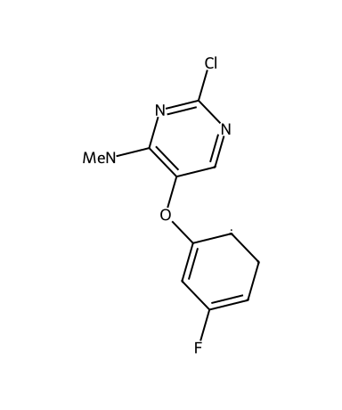 CNc1nc(Cl)ncc1OC1=CC(F)=CC[CH]1